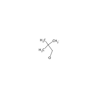 [CH2]C(C)(C)C[O]